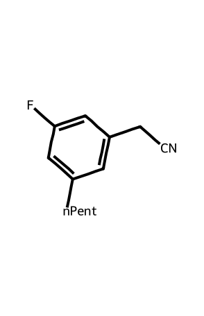 CCCCCc1cc(F)cc(CC#N)c1